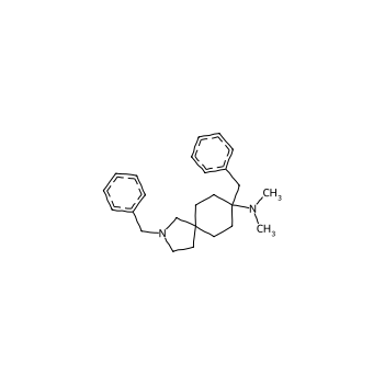 CN(C)C1(Cc2ccccc2)CCC2(CCN(Cc3ccccc3)C2)CC1